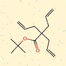 C=CCC(CC=C)(CC=C)C(=O)OC(C)(C)C